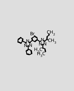 C=C/C=C(\C)c1nc(C(=C)/C=C\C)nc(-c2cc(Br)cc(-c3nc(-c4ccccc4)nc(-c4ccccc4)n3)c2)n1